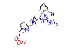 Cc1cccc(C#N)c1-c1cc(-c2cn(Cc3cccc(C(C)(C)CCC(=O)O)n3)nn2)nc(N)n1